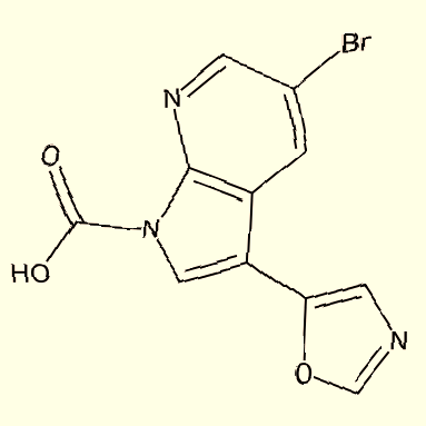 O=C(O)n1cc(-c2cnco2)c2cc(Br)cnc21